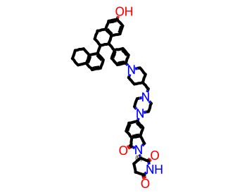 O=C1CC[C@@H](N2Cc3cc(N4CCN(CC5CCN(c6ccc(C7c8ccc(O)cc8CCC7c7cccc8c7CCCC8)cc6)CC5)CC4)ccc3C2=O)C(=O)N1